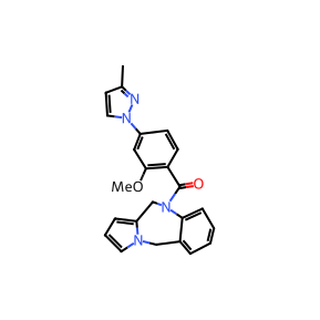 COc1cc(-n2ccc(C)n2)ccc1C(=O)N1Cc2cccn2Cc2ccccc21